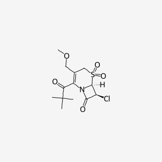 COCC1=C(C(=O)C(C)(C)C)N2C(=O)[C@H](Cl)[C@@H]2S(=O)(=O)C1